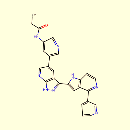 CC(C)CC(=O)Nc1cncc(-c2cnc3[nH]nc(-c4cc5c(-c6cccnc6)nccc5[nH]4)c3c2)c1